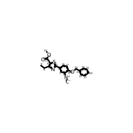 [C-]#[N+]c1cc(-c2nc(CC)c(C(=O)OC)s2)ccc1OCc1ccccc1